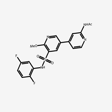 COc1ncc(-c2ccnc(NC(C)=O)c2)cc1S(=O)(=O)Nc1cc(F)ccc1F